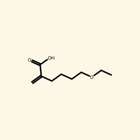 C=C(CCCCOCC)C(=O)O